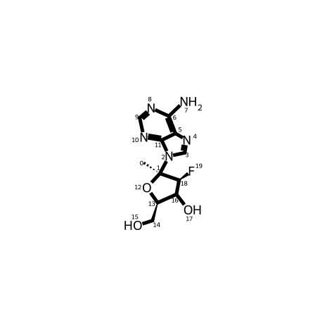 C[C@@]1(n2cnc3c(N)ncnc32)O[C@H](CO)C(O)[C@@H]1F